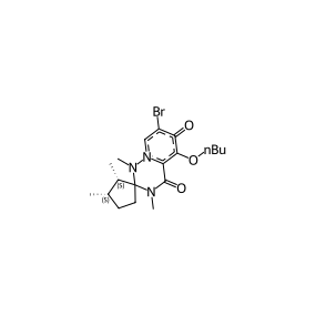 CCCCOc1c2n(cc(Br)c1=O)N(C)C1(CC[C@H](C)[C@@H]1C)N(C)C2=O